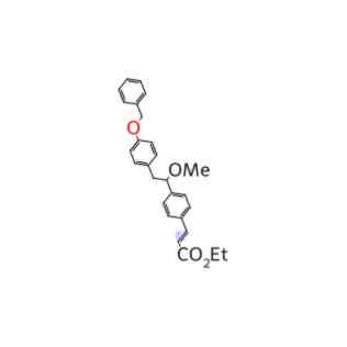 CCOC(=O)/C=C/c1ccc(C(Cc2ccc(OCc3ccccc3)cc2)OC)cc1